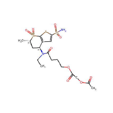 CCN(C(=O)CCCOC(=O)COC(C)=O)[C@H]1C[C@H](C)S(=O)(=O)c2sc(S(N)(=O)=O)cc21